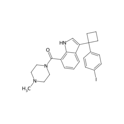 CN1CCN(C(=O)c2cccc3c(C4(c5ccc(I)cc5)CCC4)c[nH]c23)CC1